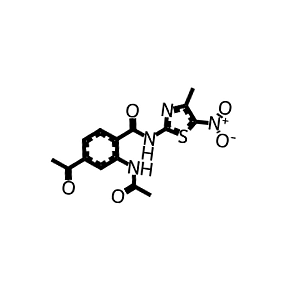 CC(=O)Nc1cc(C(C)=O)ccc1C(=O)Nc1nc(C)c([N+](=O)[O-])s1